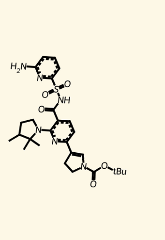 CC1CCN(c2nc(C3=CN(C(=O)OC(C)(C)C)CC3)ccc2C(=O)NS(=O)(=O)c2cccc(N)n2)C1(C)C